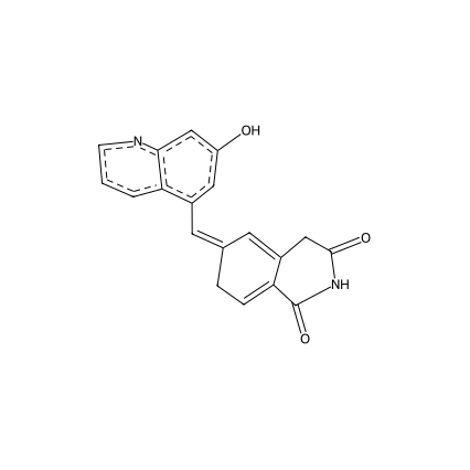 O=C1CC2=CC(=Cc3cc(O)cc4ncccc34)CC=C2C(=O)N1